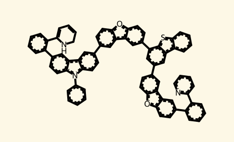 C1=CCNC(c2ccccc2-c2ccc3c(c2)c2cc(-c4ccc5oc6ccc(-c7cc(-c8ccc9oc%10ccc(-c%11ccccc%11-c%11ccccn%11)cc%10c9c8)cc8c7sc7ccccc78)cc6c5c4)ccc2n3-c2ccccc2)=C1